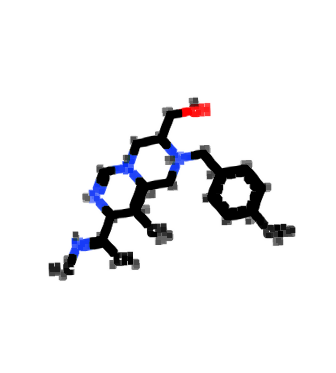 C/N=C(\C)C1N=CN2CC(CO)N(Cc3ccc(OC)cc3)CC2=C1C